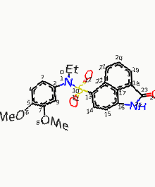 CCN(c1ccc(OC)c(OC)c1)S(=O)(=O)c1ccc2c3c(cccc13)C(=O)N2